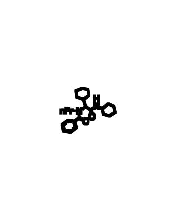 CCCN(C(=O)c1ccccc1)[C@H](C(=O)NC1CCCCC1)C1CCCCC1